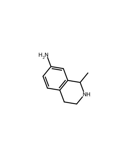 CC1NCCc2ccc(N)cc21